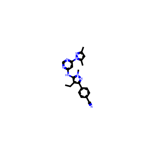 CCc1c(-c2ccc(C#N)cc2)nn(C)c1Nc1cc(-n2nc(C)cc2C)ncn1